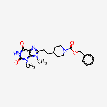 Cn1c(CCC2CCN(C(=O)OCc3ccccc3)CC2)nc2c(=O)[nH]c(=O)n(C)c21